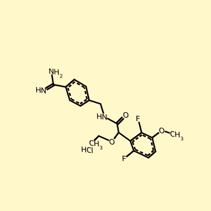 CCOC(C(=O)NCc1ccc(C(=N)N)cc1)c1c(F)ccc(OC)c1F.Cl